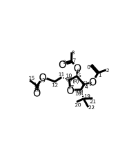 C=C(C)O[C@@H]1[C@H](OC(C)=O)[C@@H](CCOC(C)=O)O[C@H]1C(C)(C)C